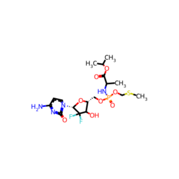 CSCOP(=O)(NC(C)C(=O)OC(C)C)OC[C@H]1O[C@@H](n2ccc(N)nc2=O)C(F)(F)C1O